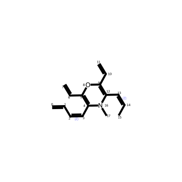 C=C/C=C\C1=C(C=C)OC(C=C)=C(/C=C\C)N1C